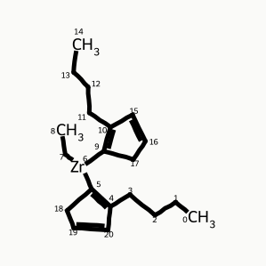 CCCCC1=[C]([Zr]([CH2]C)[C]2=C(CCCC)C=CC2)CC=C1